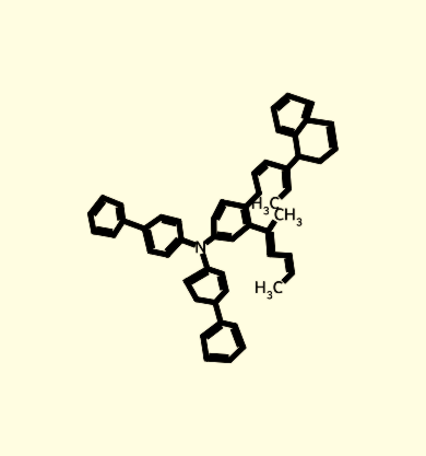 C/C=C\C=C(/C)c1cc(N(C2=CCC(c3ccccc3)C=C2)c2ccc(-c3ccccc3)cc2)ccc1C/C=C\C(=C/C)C1CC=Cc2ccccc21